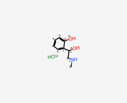 CNCC(O)c1ccccc1O.Cl